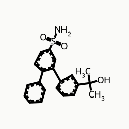 CC(C)(O)c1cccc(-c2cc(S(N)(=O)=O)ccc2-c2ccccc2)c1